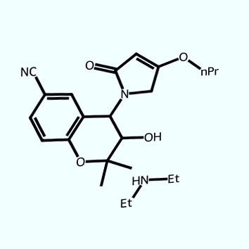 CCCOC1=CC(=O)N(C2c3cc(C#N)ccc3OC(C)(C)C2O)C1.CCNCC